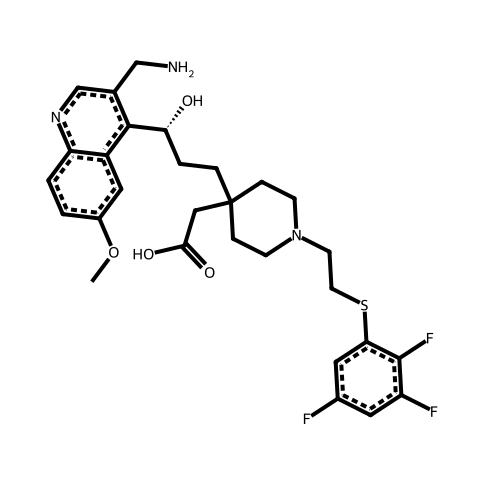 COc1ccc2ncc(CN)c([C@H](O)CCC3(CC(=O)O)CCN(CCSc4cc(F)cc(F)c4F)CC3)c2c1